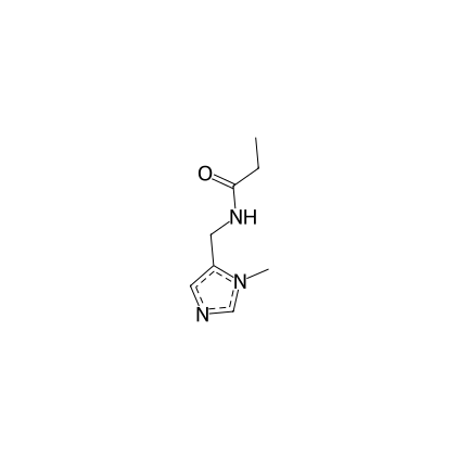 CCC(=O)NCc1cncn1C